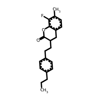 CCCc1ccc(CCC2Cc3ccc(C)c(F)c3OC2=O)cc1